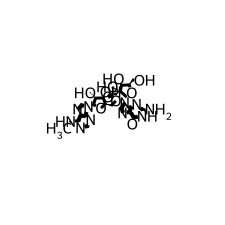 CNc1ncnc2c1ncn2[C@@H]1O[C@H](COP(=O)(O)[C@@H]2[C@H](O)[C@@H](CO)O[C@H]2n2cnc3c(=O)[nH]c(N)nc32)[C@@H](O)[C@H]1O